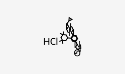 CO[C@H]1CCN(c2ccc(N3CCN(CC4CC4)CC3)c(C3CC(C)(C)CC(C)(C)C3)c2)C1.Cl